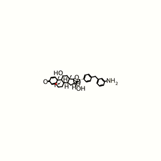 C[C@]12C=CC(=O)C=C1CC[C@H]1[C@@H]3C[C@H]4O[C@@H](c5ccc(Cc6cccc(N)c6)cc5)O[C@@]4(C(=O)CO)[C@@]3(C)C[C@H](O)[C@@]12CF